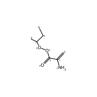 C=C(N)C(=O)OOC(C)CC